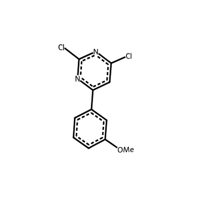 COc1cccc(-c2cc(Cl)nc(Cl)n2)c1